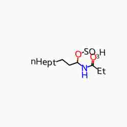 CCCCCCCCCC(NC(=O)CC)OS(=O)(=O)O